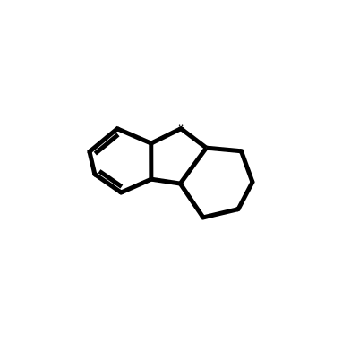 [C]1C2C=CC=CC2C2CCCCC12